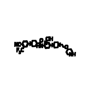 Cl.N#Cc1ccc(N2CCC(C(=O)Nc3ccc(N4CCN(CCOC5CCNCC5)CC4)cn3)CC2)cc1C(F)(F)F